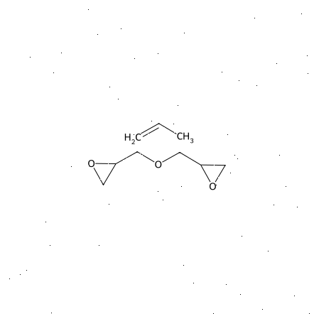 C(OCC1CO1)C1CO1.C=CC